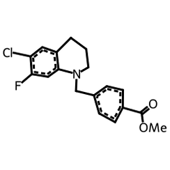 COC(=O)c1ccc(CN2CCCc3cc(Cl)c(F)cc32)cc1